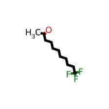 CC(=O)CCCCCCCCC(F)(F)F